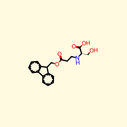 O=C(CCN[C@@H](CO)C(=O)O)OCC1c2ccccc2-c2ccccc21